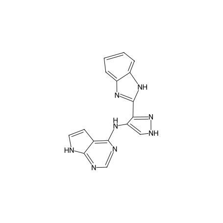 c1ccc2[nH]c(-c3n[nH]cc3Nc3ncnc4[nH]ccc34)nc2c1